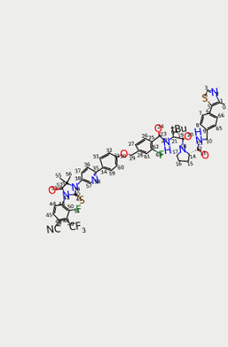 Cc1ncsc1-c1ccc(CNC(=O)[C@@H]2CCCN2C(=O)[C@@H](NC(=O)c2ccc(COc3ccc(-c4ccc(N5C(=S)N(c6ccc(C#N)c(C(F)(F)F)c6F)C(=O)C5(C)C)cn4)cc3)cc2F)C(C)(C)C)cc1